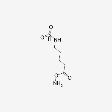 NOC(=O)CCCCN[SH](=O)=O